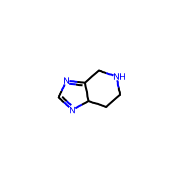 C1=NC2CCNCC2=N1